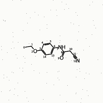 CCOc1ccc(NC(=O)CC#N)cc1